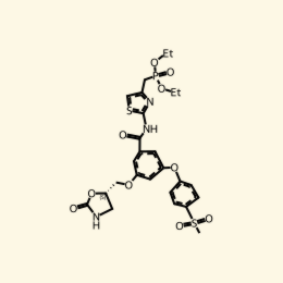 CCOP(=O)(Cc1csc(NC(=O)c2cc(OC[C@@H]3CNC(=O)O3)cc(Oc3ccc(S(C)(=O)=O)cc3)c2)n1)OCC